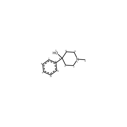 CN1CCC(O)(c2ccccc2)CC1